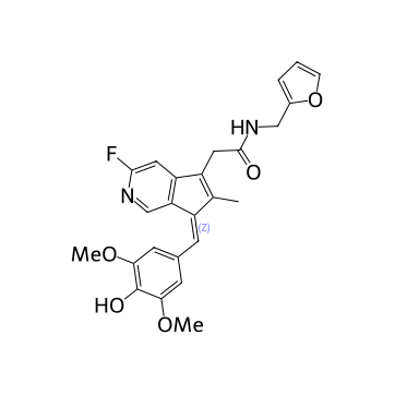 COc1cc(/C=C2/C(C)=C(CC(=O)NCc3ccco3)c3cc(F)ncc32)cc(OC)c1O